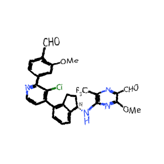 COc1cc(-c2nccc(-c3cccc4c3CC[C@@H]4Nc3nc(OC)c(C=O)nc3C(F)(F)F)c2Cl)ccc1C=O